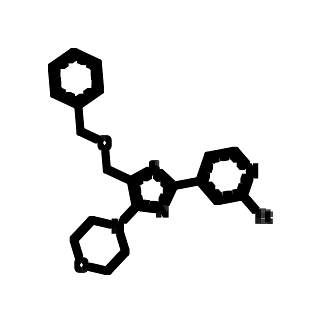 CCc1cc(-c2nc(N3CCOCC3)c(COCc3ccccc3)s2)ccn1